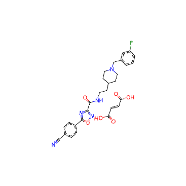 N#Cc1ccc(-c2nc(C(=O)NCCC3CCN(Cc4cccc(F)c4)CC3)no2)cc1.O=C(O)/C=C/C(=O)O